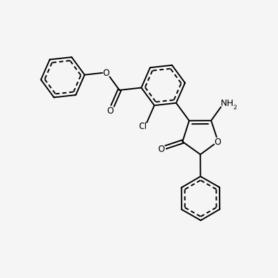 NC1=C(c2cccc(C(=O)Oc3ccccc3)c2Cl)C(=O)C(c2ccccc2)O1